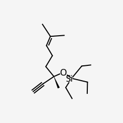 C#C[C@](C)(CCC=C(C)C)O[Si](CC)(CC)CC